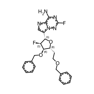 Nc1nc(F)nn2c([C@@H]3O[C@H](CCOCc4ccccc4)[C@@H](OCc4ccccc4)[C@H]3F)cnc12